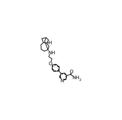 NC(=O)c1cncc(-c2ccc(OCCN[C@]34CCCC5CC(C[C@@H]5C3)C4)cc2)c1